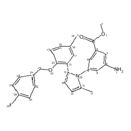 COC(=O)c1cc(N)cc(-n2c(C)ccc2-c2cc(C)ccc2OCc2ccc(F)cc2)c1